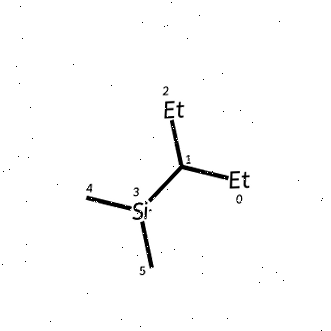 CCC(CC)[Si](C)C